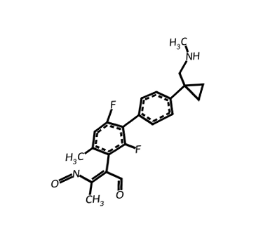 CNCC1(c2ccc(-c3c(F)cc(C)c(/C(C=O)=C(/C)N=O)c3F)cc2)CC1